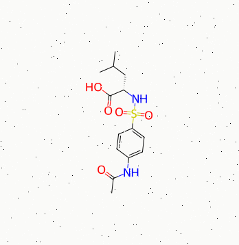 CC(=O)Nc1ccc(S(=O)(=O)N[C@@H](CC(C)C)C(=O)O)cc1